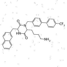 NCCCCC1C(=O)NC(Cc2ccc3ccccc3c2)C(=O)N1Cc1ccc(-c2ccc(C(F)(F)F)cc2)cc1